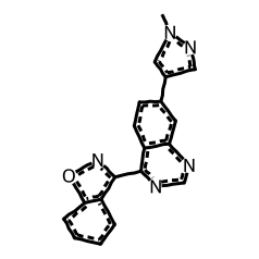 Cn1cc(-c2ccc3c(-c4noc5ccccc45)ncnc3c2)cn1